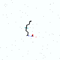 C=CCCC(F)(F)CCC(NC(=O)OC(C)(C)C)C(=O)O